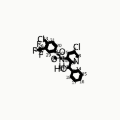 O=S(=O)(Nc1cc(Cl)cnc1C(O)c1ccccc1)c1ccc(Cl)c(C(F)(F)F)c1